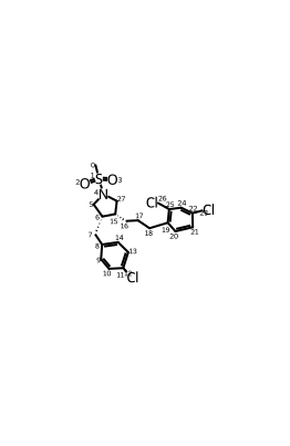 CS(=O)(=O)N1C[C@@H](Cc2ccc(Cl)cc2)[C@@H](CCCc2ccc(Cl)cc2Cl)C1